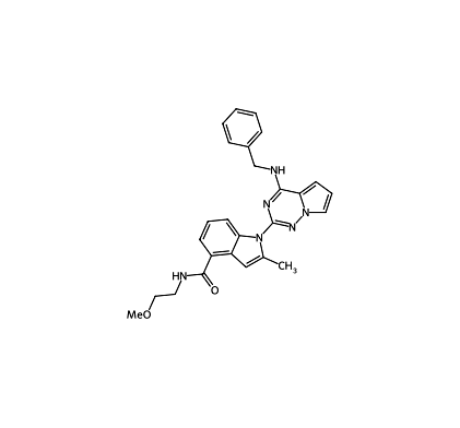 COCCNC(=O)c1cccc2c1cc(C)n2-c1nc(NCc2ccccc2)c2cccn2n1